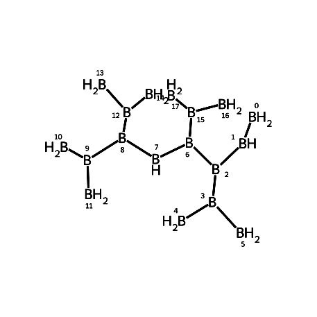 BBB(B(B)B)B(BB(B(B)B)B(B)B)B(B)B